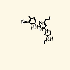 CCCc1cc(N2CCC(NCC)C2)nc(Nc2ccc(C)c(C#N)c2)n1